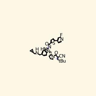 CC(C)(C)/C=C(\C#N)C(=O)N1CCC[C@@H]1Cn1/c(=N/C(=O)c2ccc(-c3ccnc(F)c3)s2)[nH]c2cc(CNCC3CC3)ccc21